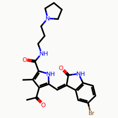 CC(=O)c1c(/C=C2\C(=O)Nc3ccc(Br)cc32)[nH]c(C(=O)NCCCN2CCCC2)c1C